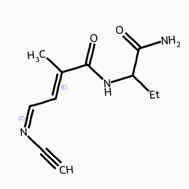 C#C/N=C\C=C(/C)C(=O)NC(CC)C(N)=O